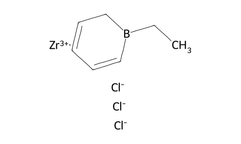 CCB1C=CC=CC1.[Cl-].[Cl-].[Cl-].[Zr+3]